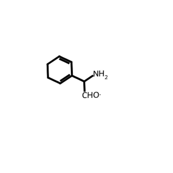 NC([C]=O)C1=CCCC=C1